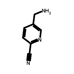 N#Cc1ccc(CN)cn1